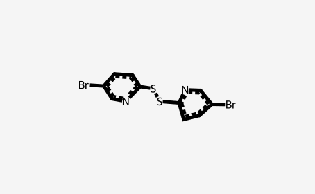 Brc1ccc(SSc2ccc(Br)cn2)nc1